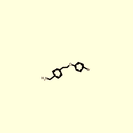 NCc1ccc(CCOc2ccc(Br)cc2)cc1